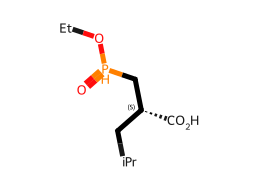 CCO[PH](=O)C[C@@H](CC(C)C)C(=O)O